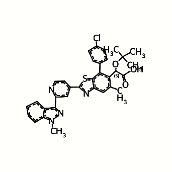 Cc1cc2nc(-c3ccnc(-c4nn(C)c5ccccc45)c3)sc2c(-c2ccc(Cl)cc2)c1[C@H](OC(C)(C)C)C(=O)O